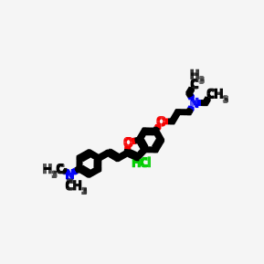 CCN(CC)CCCOc1ccc2cc(C=Cc3ccc(N(C)C)cc3)oc2c1.Cl